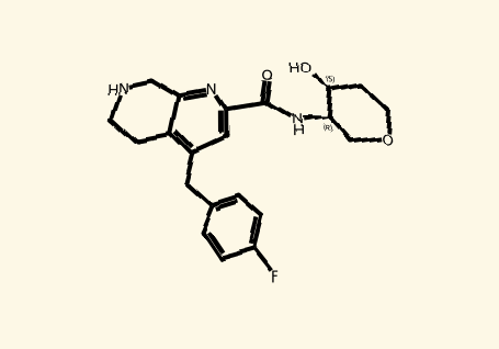 O=C(N[C@@H]1COCC[C@@H]1O)c1cc(Cc2ccc(F)cc2)c2c(n1)CNCC2